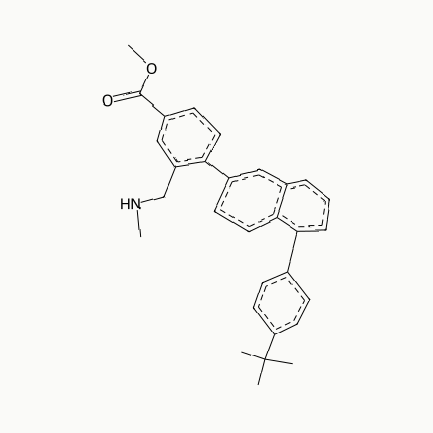 CNCc1cc(C(=O)OC)ccc1-c1ccc2c(-c3ccc(C(C)(C)C)cc3)cccc2c1